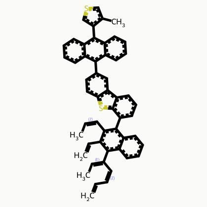 C=C/C=C\C(=C/C)c1c(C=C)c(/C=C\C)c(-c2cccc3c2sc2ccc(-c4c5ccccc5c(-c5cscc5C)c5ccccc45)cc23)c2ccccc12